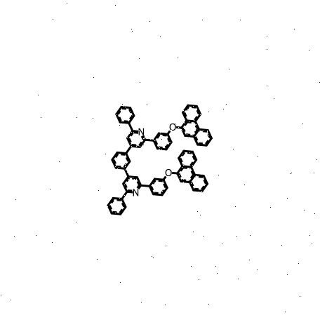 c1ccc(-c2cc(-c3cccc(-c4cc(-c5ccccc5)nc(-c5cccc(Oc6cc7ccccc7c7ccccc67)c5)c4)c3)cc(-c3cccc(Oc4cc5ccccc5c5ccccc45)c3)n2)cc1